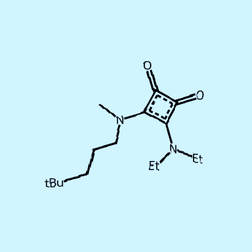 CCN(CC)c1c(N(C)CCCC(C)(C)C)c(=O)c1=O